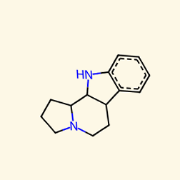 c1ccc2c(c1)NC1C2CCN2CCCC12